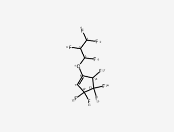 FC(F)C(F)C(F)OC1=CC(F)(F)C(F)(F)C1F